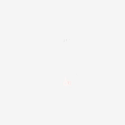 Cc1ccccc1CC(C)(O)Cc1ccccc1C